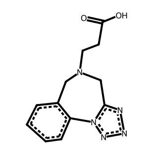 O=C(O)CCN1Cc2ccccc2-n2nnnc2C1